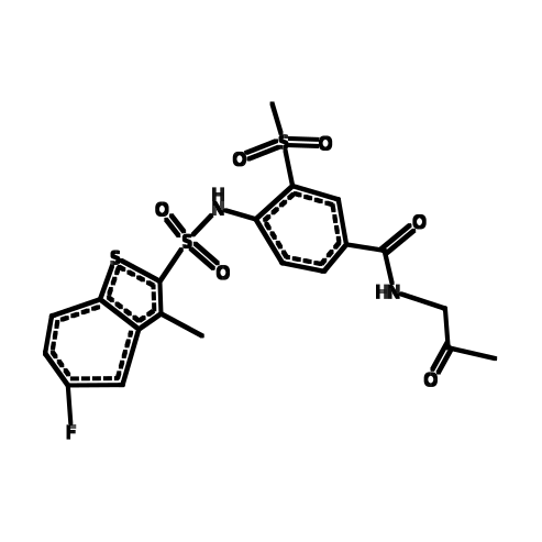 CC(=O)CNC(=O)c1ccc(NS(=O)(=O)c2sc3ccc(F)cc3c2C)c(S(C)(=O)=O)c1